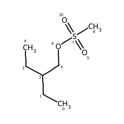 CCC(CC)COS(C)(=O)=O